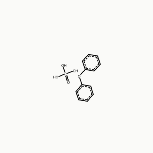 O=P(O)(O)O.c1ccc(Oc2ccccc2)cc1